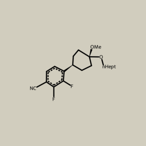 CCCCCCCO[C@]1(OC)CC[C@@H](c2ccc(C#N)c(F)c2F)CC1